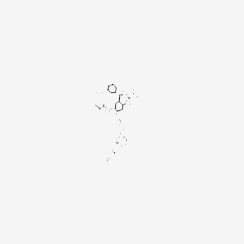 C=CC(=O)Nc1cc2c(-c3ccc(F)c(Cl)c3)nc(N)nc2cc1OCCCN1CCN(CC(=O)OCC)CC1